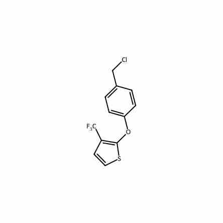 FC(F)(F)c1ccsc1Oc1ccc(CCl)cc1